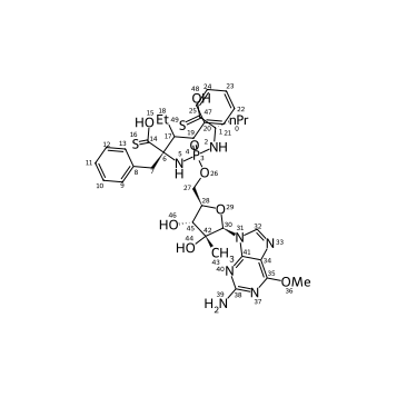 CCC[C@H](NP(=O)(N[C@](Cc1ccccc1)(C(O)=S)C(CC)Cc1ccccc1)OC[C@H]1O[C@@H](n2cnc3c(OC)nc(N)nc32)[C@](C)(O)[C@@H]1O)C(O)=S